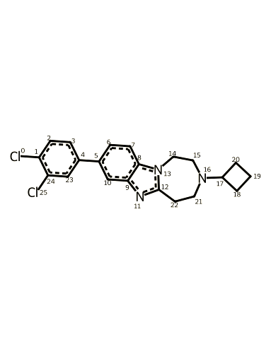 Clc1ccc(-c2ccc3c(c2)nc2n3CCN(C3CCC3)CC2)cc1Cl